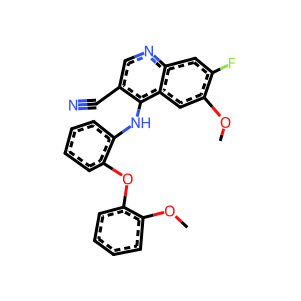 COc1cc2c(Nc3ccccc3Oc3ccccc3OC)c(C#N)cnc2cc1F